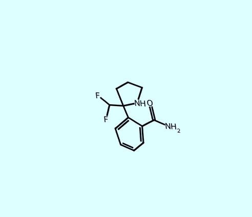 NC(=O)c1ccccc1C1(C(F)F)CCCN1